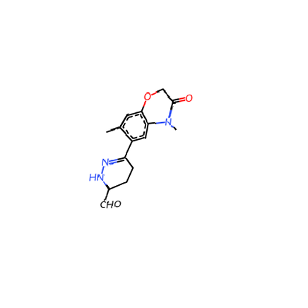 Cc1cc2c(cc1C1=NNC(C=O)CC1)N(C)C(=O)CO2